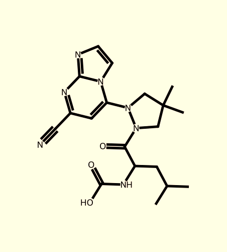 CC(C)CC(NC(=O)O)C(=O)N1CC(C)(C)CN1c1cc(C#N)nc2nccn12